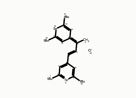 CC(C=Cc1cc(C(C)(C)C)[te+]c(C(C)(C)C)c1)=C1C=C(C(C)(C)C)[Se]C(C(C)(C)C)=C1.[Cl-]